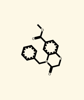 COC(=O)c1ccc2c(c1)N(Cc1ccccc1)C(=O)CS2